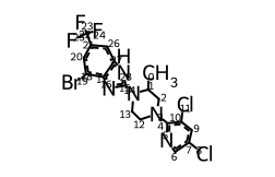 CC1CN(c2ncc(Cl)cc2Cl)CCN1c1nc2c(Br)cc(C(F)(F)F)cc2[nH]1